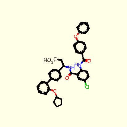 O=C(O)CC(NC(=O)c1cc(Cl)ccc1NC(=O)c1ccc(Oc2ccccc2)cc1)c1ccc(-c2ccccc2OC2CCCC2)cc1